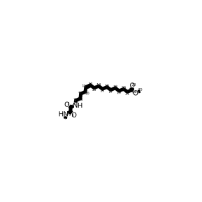 CNC(=O)C(=O)NCCCC/C=C\CCCCCCCCCC(=O)OC